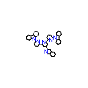 C1=Cc2c(c3ccccc3n2-c2cccc(-c3cc(-c4cc5ccccc5cn4)cc(-c4cccc(-n5c6ccccc6c6ccccc65)n4)n3)n2)CC1